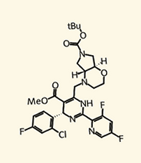 COC(=O)C1=C(CN2CCO[C@@H]3CN(C(=O)OC(C)(C)C)C[C@H]32)NC(c2ncc(F)cc2F)=N[C@@H]1c1ccc(F)cc1Cl